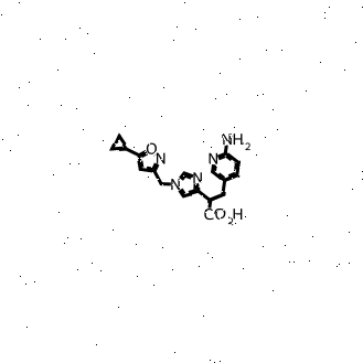 Nc1ccc(CC(C(=O)O)c2cn(Cc3cc(C4CC4)on3)cn2)cn1